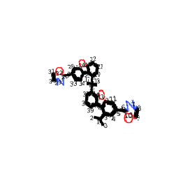 CC(C)c1cc(-c2ncco2)cc2oc3c(C(C)(C)c4cccc5oc6cc(-c7ncco7)ccc6c45)cccc3c12